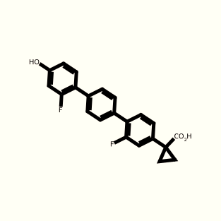 O=C(O)C1(c2ccc(-c3ccc(-c4ccc(O)cc4F)cc3)c(F)c2)CC1